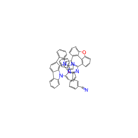 N#Cc1cccc(-c2nc(-c3cccc4oc5cccc(-c6ccccc6)c5c34)nc(-n3c4ccccc4c4ccc5c6ccccc6n(-c6ccccc6-c6ccccc6)c5c43)n2)c1